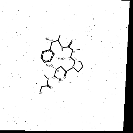 CC[C@H](C)[C@@H]([C@@H](CC(=O)N1CCC[C@H]1[C@H](OC)[C@@H](C)C(=O)NC(C)[C@@H](O)c1ccccc1)OC)N(C)C(=O)CC(C)C